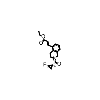 CCOC(=O)C=Cc1cccc2c1CCN(C(=O)[C@@H]1C[C@@H]1F)C2